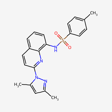 Cc1ccc(S(=O)(=O)Nc2cccc3ccc(-n4nc(C)cc4C)nc23)cc1